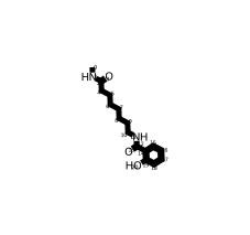 CNC(=O)CCCCCCCNC(=O)c1ccccc1O